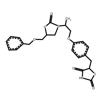 CC(COc1ccc(CC2SC(=O)NC2=O)cc1)N1CC(COCc2ccccc2)OC1=O